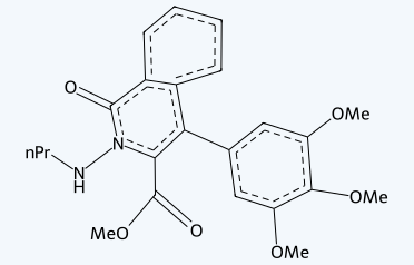 CCCNn1c(C(=O)OC)c(-c2cc(OC)c(OC)c(OC)c2)c2ccccc2c1=O